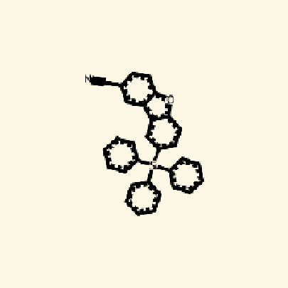 N#Cc1ccc2oc3ccc([Si](c4ccccc4)(c4ccccc4)c4ccccc4)cc3c2c1